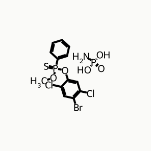 COP(=S)(Oc1cc(Cl)c(Br)cc1Cl)c1ccccc1.NP(=O)(O)O